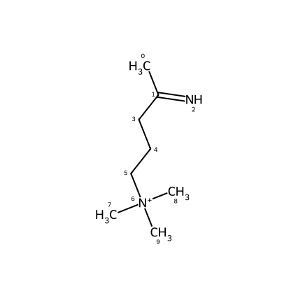 CC(=N)CCC[N+](C)(C)C